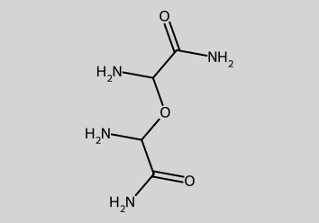 NC(=O)C(N)OC(N)C(N)=O